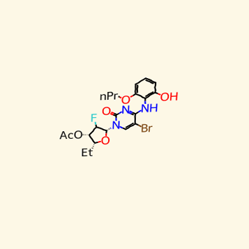 CCCOc1cccc(O)c1Nc1nc(=O)n([C@@H]2O[C@H](CC)[C@H](OC(C)=O)C2F)cc1Br